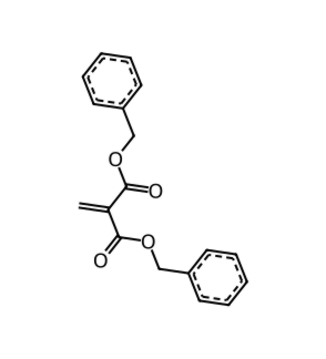 C=C(C(=O)OCc1ccccc1)C(=O)OCc1ccccc1